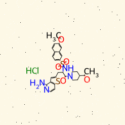 COc1ccc2ccc(S(=O)(=O)NC(Cc3cc4c(N)nccc4s3)C(=O)N3CCC(C(C)=O)CC3)cc2c1.Cl